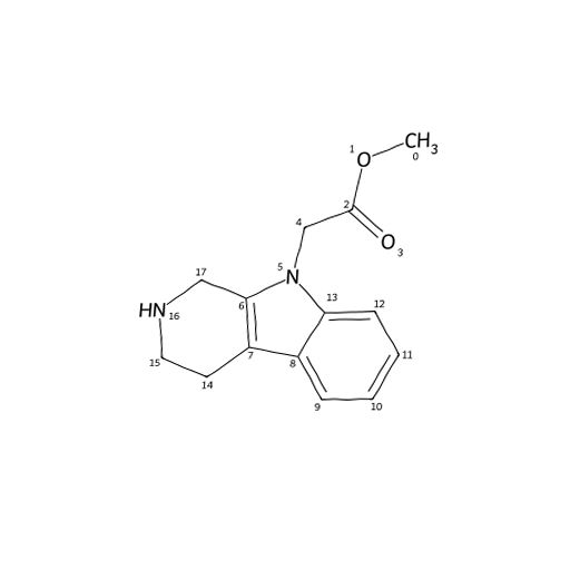 COC(=O)Cn1c2c(c3ccccc31)CCNC2